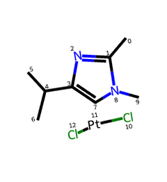 Cc1nc(C(C)C)cn1C.[Cl][Pt][Cl]